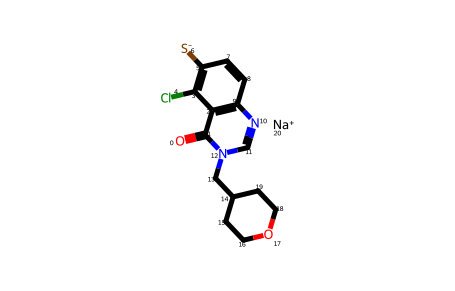 O=c1c2c(Cl)c([S-])ccc2ncn1CC1CCOCC1.[Na+]